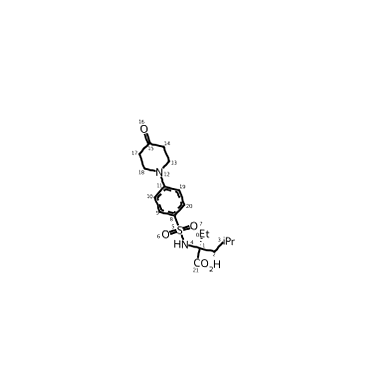 CC[C@@](CC(C)C)(NS(=O)(=O)c1ccc(N2CCC(=O)CC2)cc1)C(=O)O